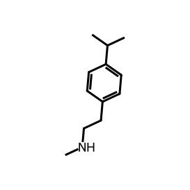 CNCCc1ccc(C(C)C)cc1